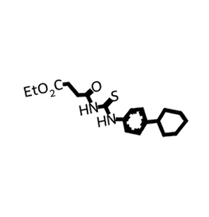 CCOC(=O)CCC(=O)NC(=S)Nc1ccc(C2CCCCC2)cc1